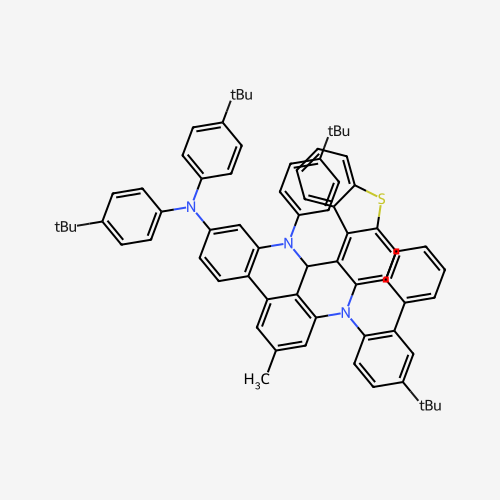 Cc1cc2c3c(c1)N(c1ccc(C(C)(C)C)cc1-c1ccccc1)c1ccc4sc5ccccc5c4c1C3N(c1ccc(C(C)(C)C)cc1)c1cc(N(c3ccc(C(C)(C)C)cc3)c3ccc(C(C)(C)C)cc3)ccc1-2